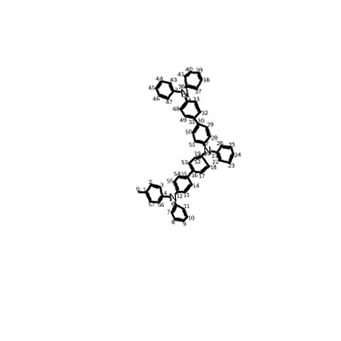 Cc1ccc(N(c2ccccc2)c2ccc(-c3ccc(N(c4ccccc4)c4ccc(-c5ccc(N(c6ccccc6)c6ccccc6)cc5)cc4)cc3)cc2)cc1